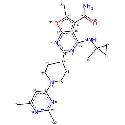 Cc1cc(N2CCC(c3nc(NC4(C)CC4)c4c(C(N)=O)c(C)oc4n3)CC2)nc(C)n1